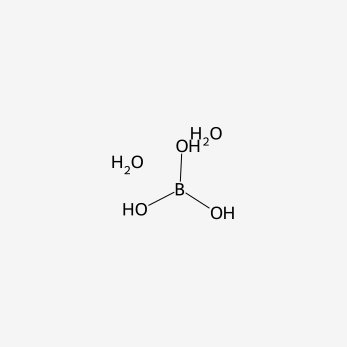 O.O.OB(O)O